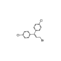 Clc1ccc(C(=CCBr)c2ccc(Cl)cc2)cc1